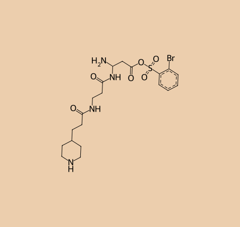 NC(CC(=O)OS(=O)(=O)c1ccccc1Br)NC(=O)CCNC(=O)CCC1CCNCC1